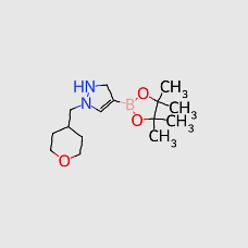 CC1(C)OB(C2=CN(CC3CCOCC3)NC2)OC1(C)C